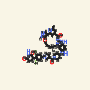 Cc1cc2cc(n1)-c1cnn(C)c1OCCC[C@@H](C)CN1/C(=N/C2=O)Nc2ccc(NC3CCN(C(=O)[C@@H]4CCN(c5cc(F)c([C@H]6CCC(=O)NC6=O)c(F)c5)C4)CC3)cc21